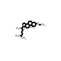 CCOC1CC[C@@]2(C)C(CCC3C2CC[C@@]2(C)C3CC[C@@H]2[C@H](C)CCCC(C)C)C1